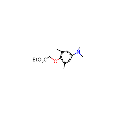 CCOC(=O)COc1c(C)cc(N(C)C)cc1C